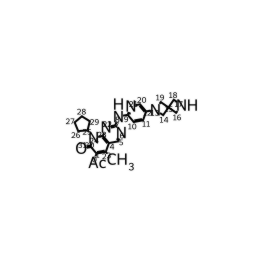 CC(=O)c1c(C)c2cnc(Nc3ccc(N4CC5(CNC5)C4)cn3)nc2n(C2CCCC2)c1=O